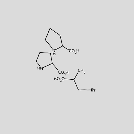 CC(C)CC(N)C(=O)O.O=C(O)C1CCCN1.O=C(O)C1CCCN1